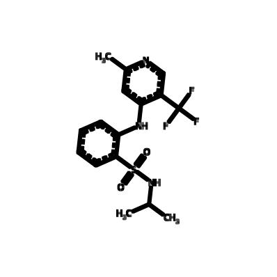 Cc1cc(Nc2ccccc2S(=O)(=O)NC(C)C)c(C(F)(F)F)cn1